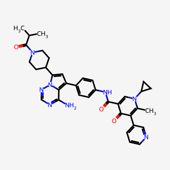 Cc1c(-c2cccnc2)c(=O)c(C(=O)Nc2ccc(-c3cc(C4CCN(C(=O)C(C)C)CC4)n4ncnc(N)c34)cc2)cn1C1CC1